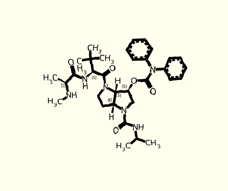 CN[C@@H](C)C(=O)N[C@H](C(=O)N1CC[C@@H]2[C@H]1[C@@H](OC(=O)N(c1ccccc1)c1ccccc1)CN2C(=O)NC(C)C)C(C)(C)C